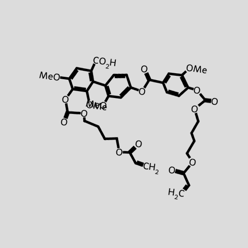 C=CC(=O)OCCCCOC(=O)Oc1ccc(C(=O)Oc2ccc(-c3c(C(=O)O)cc(OC)c(OC(=O)OCCCCOC(=O)C=C)c3OC)c(OC)c2)cc1OC